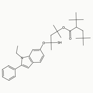 CCn1c(-c2ccccc2)cc2ccc(OC(C)(S)CC(C)(C)OC(=O)C(CC(C)(C)C)C(C)(C)C)cc21